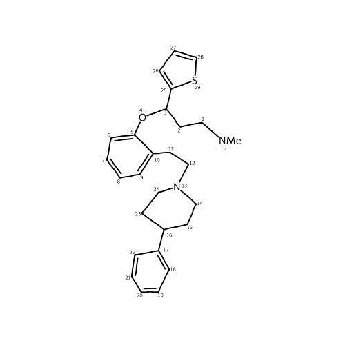 CNCCC(Oc1ccccc1CCN1CCC(c2ccccc2)CC1)c1cccs1